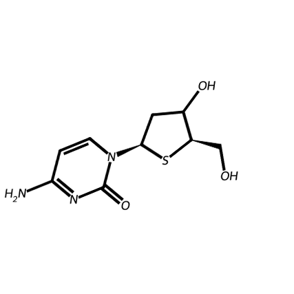 Nc1ccn([C@H]2CC(O)[C@@H](CO)S2)c(=O)n1